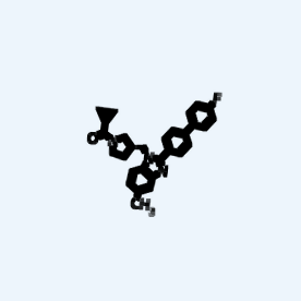 Cc1ccc2c(c1)nc(-c1ccc(-c3ccc(F)cc3)cc1)n2C[C@H]1CCN(C(=O)C2CC2)C1